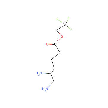 NCC(N)CCCC(=O)OCC(F)(F)F